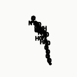 C#CCOCCOCCOCCOCCC(=O)NCCCN(CCO)C(=O)c1ncn(-c2ncc(OC)c3c(C(=O)C(=O)N4CCC(=C(C#N)c5ccccc5)CC4)c[nH]c23)n1